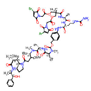 CCC(C)[C@@H](C(CC(=O)N1CCC[C@H]1[C@H](OC)[C@@H](C)C(=O)N[C@H](C)[C@@H](O)c1ccccc1)OC)N(C)C(=O)[C@@H](NC(=O)[C@H](C(C)C)N(C)C(=O)OCc1ccc(NC(=O)[C@H](CCCNC(N)=O)NC(=O)[C@@H](NC(=O)C(C)(COC(=O)CN2C(=O)C=C(Br)C2=O)COC(=O)CN2C(=O)C=C(Br)C2=O)C(C)C)cc1)C(C)C